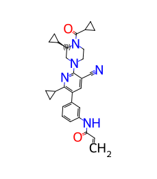 C=CC(=O)Nc1cccc(-c2cc(C#N)c(N3CCN(C(=O)C4CC4)[C@H](C4CC4)C3)nc2C2CC2)c1